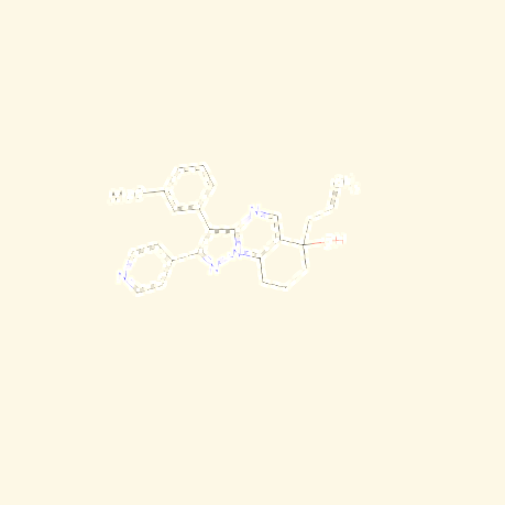 C=CCC1(O)CCCc2c1cnc1c(-c3cccc(OC)c3)c(-c3ccncc3)nn21